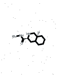 CC(C)(C)NC(=O)[C@@H]1CC2CCCC[C@@H]2CN1